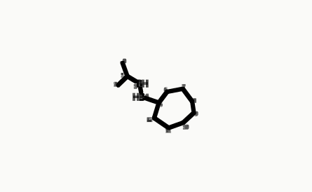 CC(C)BBC1CCCCCCC1